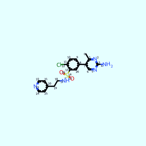 Cc1nc(N)ncc1-c1ccc(Cl)c(S(=O)(=O)NCCc2ccncc2)c1